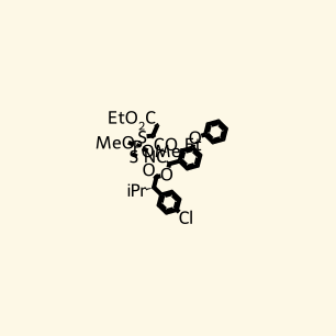 CC(C)[C@H](C(=O)O[C@H](C#N)c1cccc(Oc2ccccc2)c1)c1ccc(Cl)cc1.CCOC(=O)CC(SP(=S)(OC)OC)C(=O)OCC